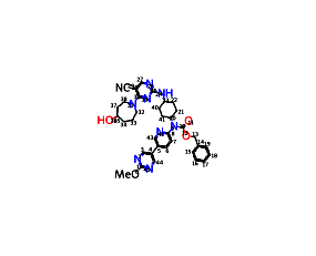 COc1ncc(-c2ccc(N(C(=O)OCc3ccccc3)[C@H]3CC[C@H](Nc4ncc(C#N)c(N5CCCC(O)CC5)n4)CC3)nc2)cn1